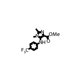 COC(=O)c1nc(C)n(C)c1Nc1ccc(C(F)(F)F)cc1